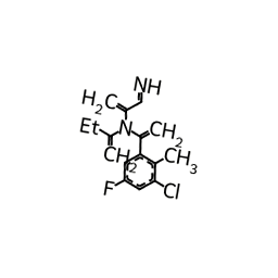 C=C(C=N)N(C(=C)CC)C(=C)c1cc(F)cc(Cl)c1C